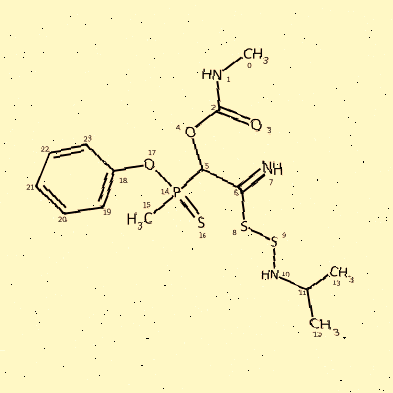 CNC(=O)OC(C(=N)SSNC(C)C)P(C)(=S)Oc1ccccc1